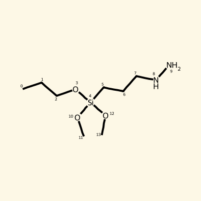 CCCO[Si](CCCNN)(OC)OC